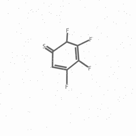 FC1=[C]C(=S)C(F)C(F)=C1F